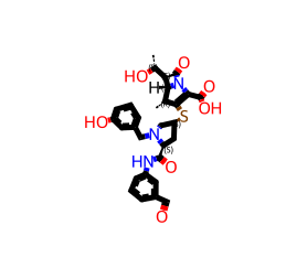 C[C@@H](O)[C@H]1C(=O)N2C(C(=O)O)=C(S[C@H]3C[C@@H](C(=O)Nc4cccc(C=O)c4)N(Cc4cccc(O)c4)C3)[C@H](C)[C@H]12